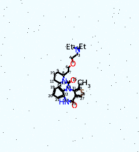 CCN(CC)CCOCCC1CCCCN1C(=O)N1c2ccccc2NC(=O)c2csc(C)c21